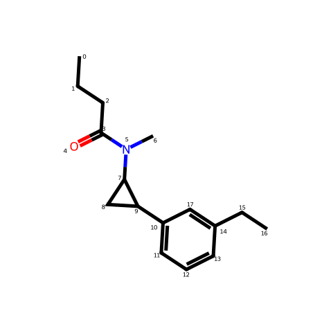 CCCC(=O)N(C)C1CC1c1cccc(CC)c1